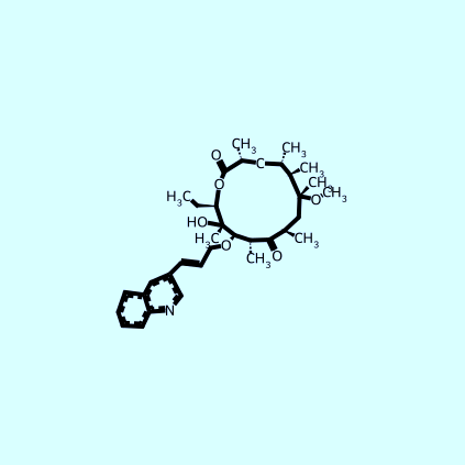 CC[C@H]1OC(=O)[C@H](C)C[C@H](C)[C@@H](C)[C@](C)(OC)C[C@@H](C)C(=O)[C@H](C)[C@@H](OC/C=C/c2cnc3ccccc3c2)[C@]1(C)O